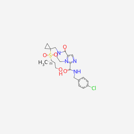 C[C@@H](CCO)S(=O)(=O)C1(CN2CCn3c(cnc3C(=O)NCc3ccc(Cl)cc3)C2=O)CC1